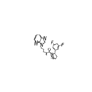 C=C(CCCn1cnc2cccnc21)C(=O)N1N=CCC1c1cc(F)cc(F)c1